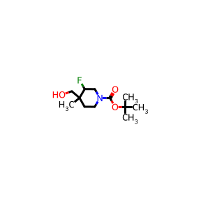 CC(C)(C)OC(=O)N1CCC(C)(CO)C(F)C1